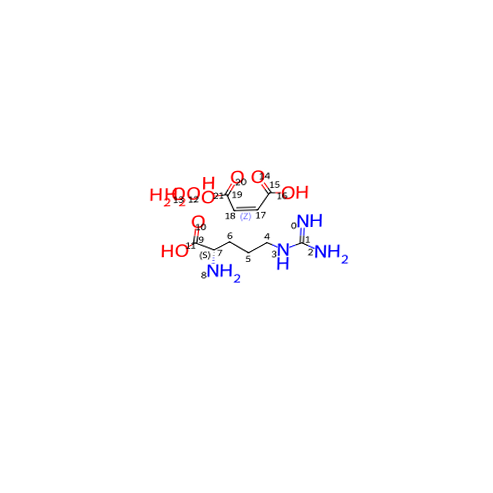 N=C(N)NCCC[C@H](N)C(=O)O.O.O.O=C(O)/C=C\C(=O)O